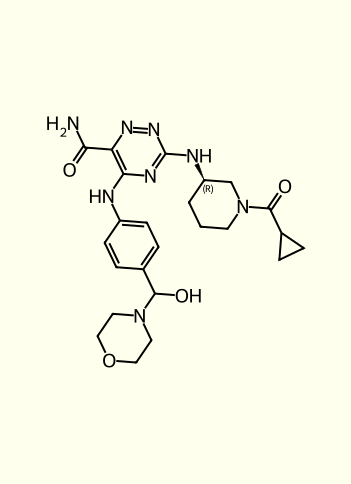 NC(=O)c1nnc(N[C@@H]2CCCN(C(=O)C3CC3)C2)nc1Nc1ccc(C(O)N2CCOCC2)cc1